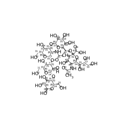 CC(=O)N[C@H]1[C@H](O[C@H]2[C@@H](O)[C@@H](CO)O[C@@H](O[C@H]3[C@H](O)[C@@H](O)[C@H](O)O[C@@H]3CO)[C@@H]2O)O[C@H](CO)[C@@H](O)[C@@H]1O[C@@H]1O[C@H](CO[C@]2(C(=O)O)C[C@H](O)[C@@H](NC(C)=O)[C@H]([C@H](O)[C@H](O)CO)O2)[C@H](O)[C@H](O)[C@H]1O